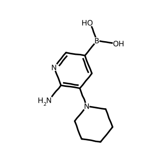 Nc1ncc(B(O)O)cc1N1CCCCC1